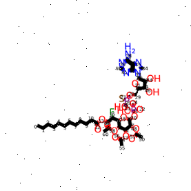 CCCCCCCCCCCC(=O)OC[C@H](F)C1OC(OP(=O)(O)OP(O)(=S)OC[C@H]2O[C@@H](n3cnc4c(N)ncnc43)[C@H](O)[C@@H]2O)C(OC(C)=O)C(OC(C)=O)C1OC(C)=O